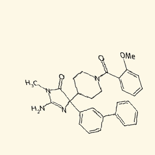 COc1ccccc1C(=O)N1CCC(C2(c3cccc(-c4ccccc4)c3)N=C(N)N(C)C2=O)CC1